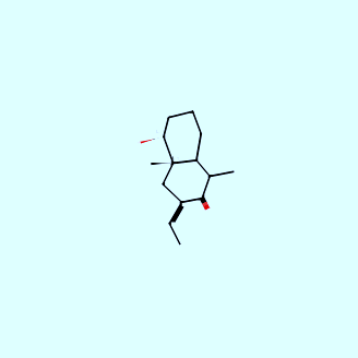 C/C=C1/C[C@@]2(C)C(CCC[C@@H]2O)C(C)C1=O